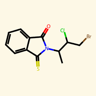 CC(C(Cl)CBr)N1C(=O)c2ccccc2C1=S